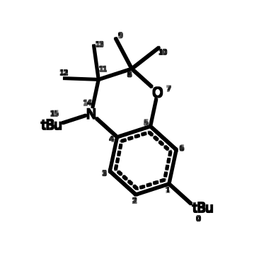 CC(C)(C)c1ccc2c(c1)OC(C)(C)C(C)(C)N2C(C)(C)C